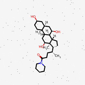 C[C@H](CCC(=O)N1CCCCC1)[C@H]1CC[C@H]2[C@@H]3[C@H](O)C[C@@H]4C[C@H](O)CC[C@]4(C)[C@H]3C[C@H](O)[C@]12C